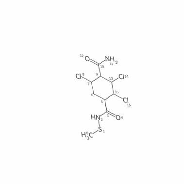 CSNC(=O)C1CC(Cl)C(C(N)=O)C(Cl)C1Cl